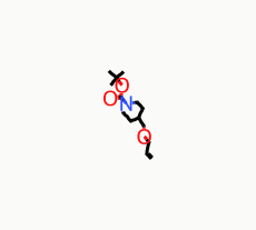 C=CCOCC1CCN(C(=O)OC(C)(C)C)CC1